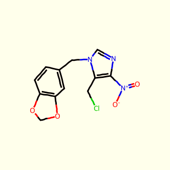 O=[N+]([O-])c1ncn(Cc2ccc3c(c2)OCO3)c1CCl